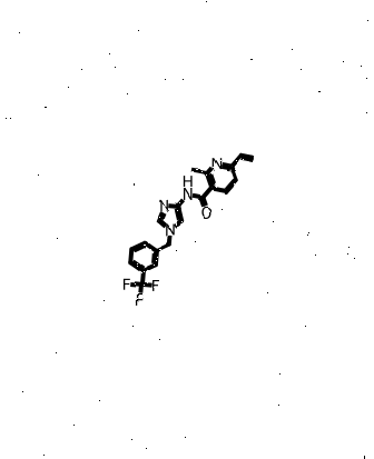 C=Cc1ccc(C(=O)Nc2cn(Cc3cccc(C(F)(F)F)c3)cn2)c(C)n1